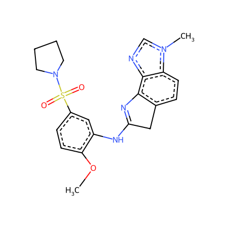 COc1ccc(S(=O)(=O)N2CCCC2)cc1NC1=Nc2c(ccc3c2ncn3C)C1